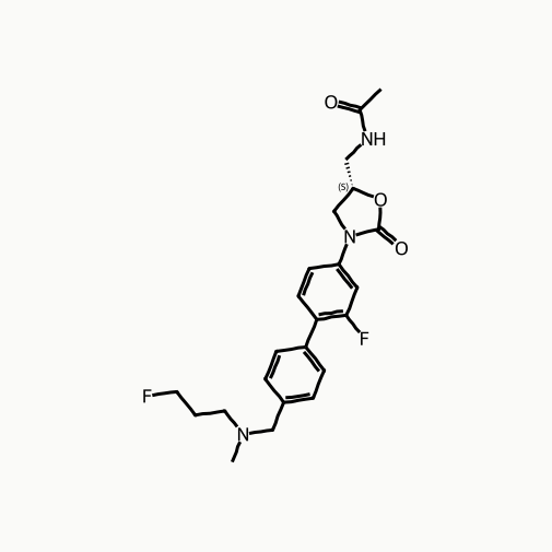 CC(=O)NC[C@H]1CN(c2ccc(-c3ccc(CN(C)CCCF)cc3)c(F)c2)C(=O)O1